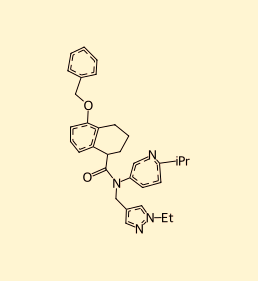 CCn1cc(CN(C(=O)C2CCCc3c(OCc4ccccc4)cccc32)c2ccc(C(C)C)nc2)cn1